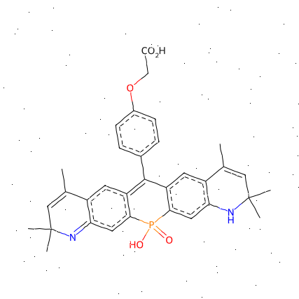 CC1=CC(C)(C)Nc2cc3c(cc21)C(c1ccc(OCC(=O)O)cc1)=c1cc2c(cc1P3(=O)O)=NC(C)(C)C=C2C